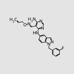 C=CCON=Cc1c(N)ncnc1Nc1ccc2c(cnn2Cc2cccc(F)c2)c1